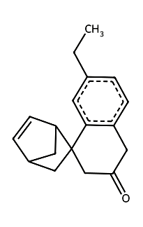 CCc1ccc2c(c1)C1(CC(=O)C2)CC2C=CC1C2